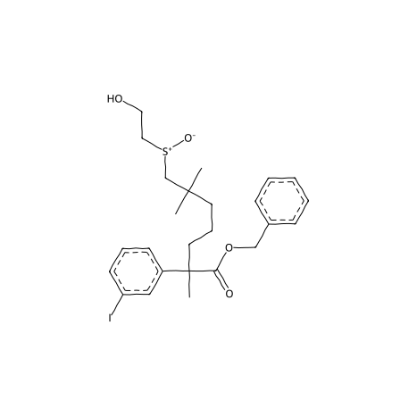 CC(C)(CCCC(C)(C(=O)OCc1ccccc1)c1cccc(I)c1)C[S+]([O-])CCO